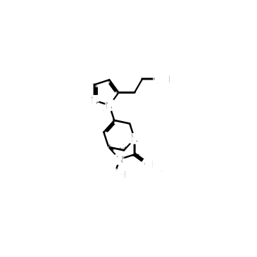 C=C1N2CC(n3nccc3CCO)=CC(C2)N1C